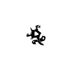 Cc1cc(F)cc(S(C)(=O)=O)c1